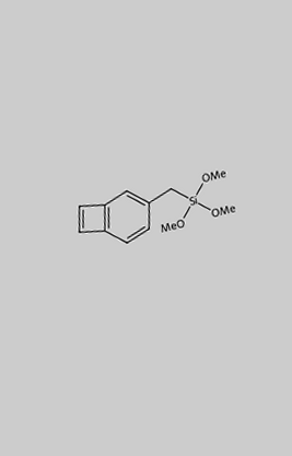 CO[Si](Cc1ccc2c(c1)C=C2)(OC)OC